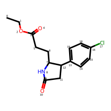 CCOC(=O)CCC1NC(=O)CC1c1ccc(Cl)cc1